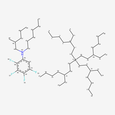 CCCCC(CC)CC[B-](CCC(CC)CCCC)(CCC(CC)CCCC)CCC(CC)CCCC.CCCCCC[NH+](CC(C)CCC)c1cc(F)c(F)c(F)c1F